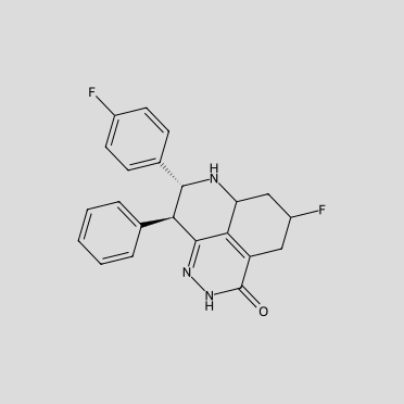 O=c1[nH]nc2c3c1CC(F)CC3N[C@@H](c1ccc(F)cc1)[C@@H]2c1ccccc1